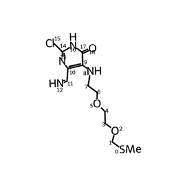 CSCOCCOCCNc1c(C=N)nc(Cl)[nH]c1=O